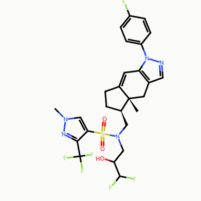 Cn1cc(S(=O)(=O)N(CC(O)C(F)F)C[C@H]2CCC3=Cc4c(cnn4-c4ccc(F)cc4)C[C@@]32C)c(C(F)(F)F)n1